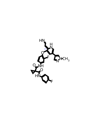 Cn1cc(C2=CN/C(=C\C=N)C(Oc3ccc(NC(=O)C4(C(=O)Nc5ccc(F)cc5)CC4)cc3F)=C2)cn1